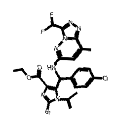 CCOC(=O)c1nc(Br)n(C(C)C)c1C(Nc1cc(C)c2nnc(C(F)F)n2n1)c1ccc(Cl)cc1